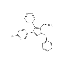 NCc1c(-c2ccncc2)c(-c2ccc(F)cc2)cn1Cc1ccccc1